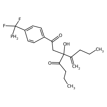 C=C(CCC)C(O)(CC(=O)c1ccc(C(F)(F)P)cc1)C(=O)CCC